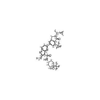 C[C@@H](C1=CC1)N1Cc2cc(-c3ccn4nc(N)c(C(=O)N[C@H]5CC[C@](O)(C(F)(F)F)CC5)c4n3)cc(C(F)(F)F)c2C1=O